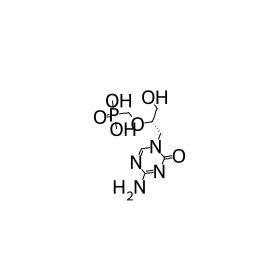 Nc1ncn(C[C@@H](CO)OCP(=O)(O)O)c(=O)n1